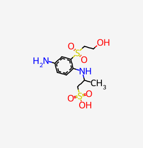 CC(CS(=O)(=O)O)Nc1ccc(N)cc1S(=O)(=O)CCO